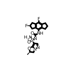 C[C@@H]1Cn2ncc([S@](N)(=O)=NC(=O)Nc3c4c(c(F)c5c3C[C@@H](F)C5)CCC4)c2O1